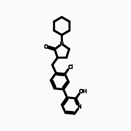 O=C1C(Cc2ccc(-c3cccnc3O)cc2Cl)CCN1C1CCCCC1